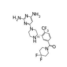 Nc1cc(N2CCN[C@@H](c3cc(C(=O)N4CCC(F)(F)CC4)ccc3C(F)(F)F)C2)nc(N)n1